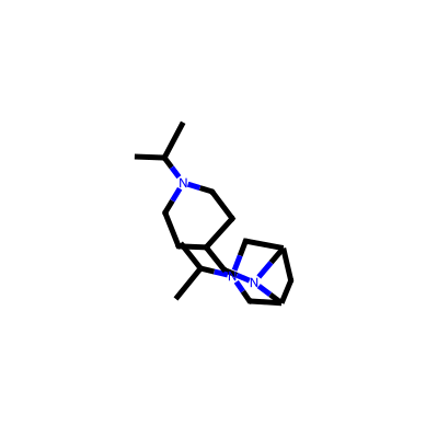 CC(C)N1CCC(CN2C3CC2CN(C(C)C)C3)CC1